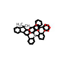 CC1(C)c2ccccc2-c2cc(-c3ccccc3N(c3cccc(-c4ccccc4)c3-c3ccccc3-c3ccccc3)c3cccc4c3oc3ccccc34)ccc21